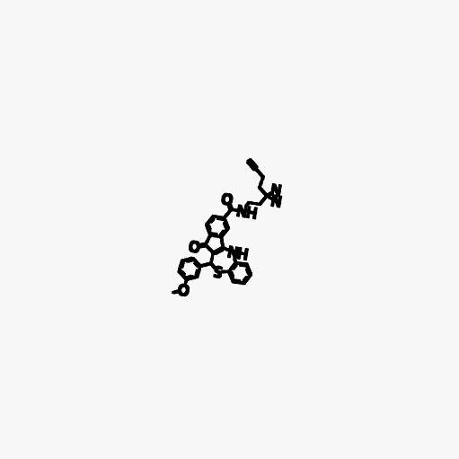 C#CCCC1(CCNC(=O)c2ccc3c(c2)C2=C(C3=O)C(c3cccc(OC)c3)Sc3ccccc3N2)N=N1